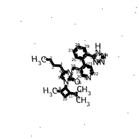 CCCCc1cn(C2C(C)CC2C(C)C)c(=O)n1Cc1cnccc1-c1ccccc1-c1nnn[nH]1